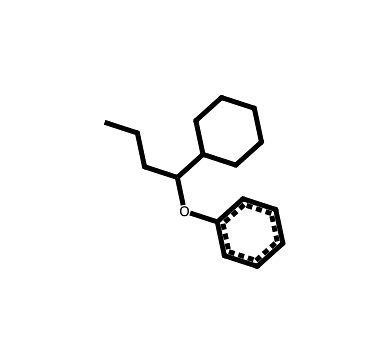 CCCC(Oc1ccccc1)C1CCCCC1